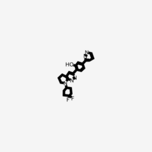 Oc1cc(-c2cccnn2)ccc1-c1cc2c(nn1)N(C1CCC(F)(F)CC1)CCC2